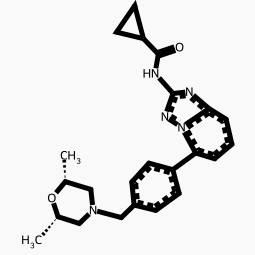 C[C@@H]1CN(Cc2ccc(-c3cccc4nc(NC(=O)C5CC5)nn34)cc2)C[C@H](C)O1